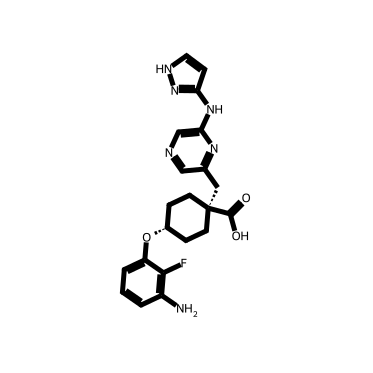 Nc1cccc(O[C@H]2CC[C@](Cc3cncc(Nc4cc[nH]n4)n3)(C(=O)O)CC2)c1F